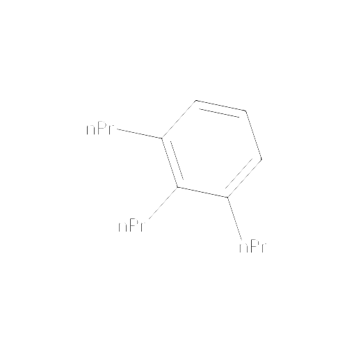 CCCc1cccc(CCC)c1CCC